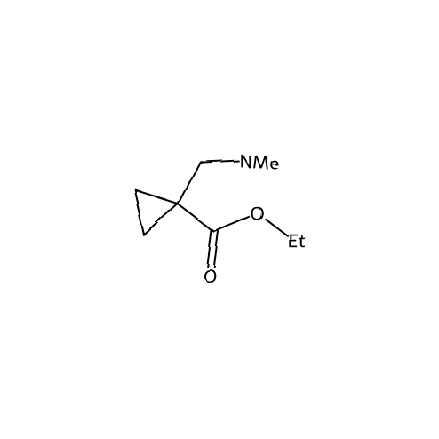 CCOC(=O)C1(CNC)CC1